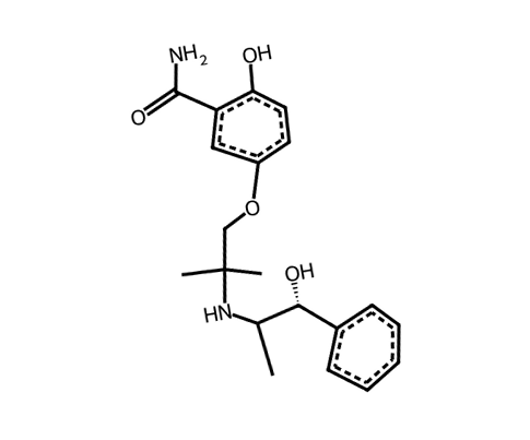 CC(NC(C)(C)COc1ccc(O)c(C(N)=O)c1)[C@H](O)c1ccccc1